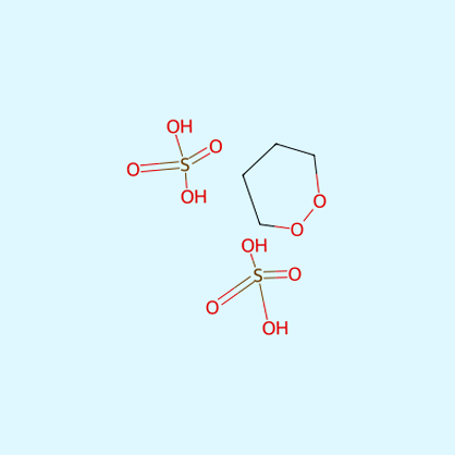 C1CCOOC1.O=S(=O)(O)O.O=S(=O)(O)O